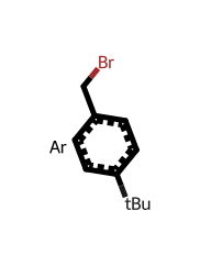 CC(C)(C)c1ccc(CBr)cc1.[Ar]